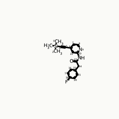 C[Si](C)(C)C#Cc1ccnc(NC(=O)Cc2ccc(F)cc2)c1